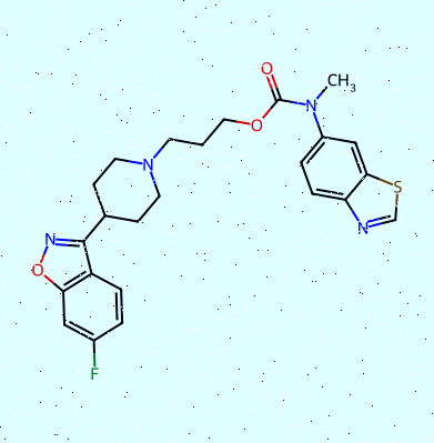 CN(C(=O)OCCCN1CCC(c2noc3cc(F)ccc23)CC1)c1ccc2ncsc2c1